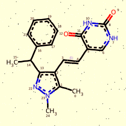 Cc1c(/C=C/c2c[nH]c(=O)[nH]c2=O)c(C(C)c2ccccc2)nn1C